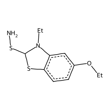 CCOc1ccc2c(c1)N(CC)C(SN)S2